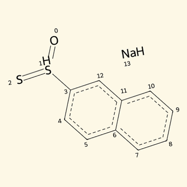 O=[SH](=S)c1ccc2ccccc2c1.[NaH]